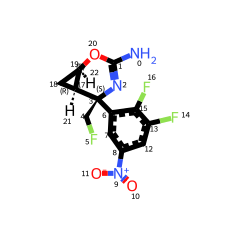 NC1=N[C@](CF)(c2cc([N+](=O)[O-])cc(F)c2F)[C@H]2C[C@H]2O1